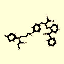 CCC(=O)N(CCCOc1ccc(CC(Nc2ccccc2C(=O)c2ccccc2)C(=O)O)cc1)c1ccc(C)cc1